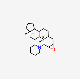 C[C@@]12CCCC1C1CCC3CC4OC4C(N4CCCCC4)[C@]3(C)C1CC2